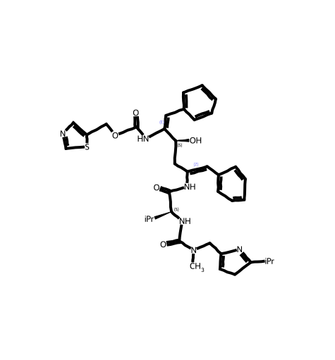 CC(C)C1=NC(CN(C)C(=O)N[C@H](C(=O)N/C(=C\c2ccccc2)C[C@H](O)/C(=C\c2ccccc2)NC(=O)OCc2cncs2)C(C)C)=CC1